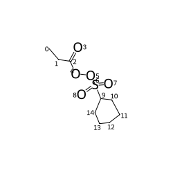 CCC(=O)OOS(=O)(=O)C1CCCCC1